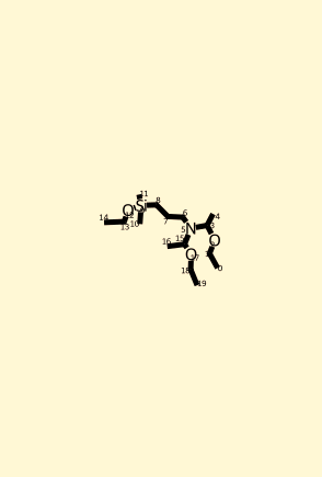 CCOC(C)N(CCC[Si](C)(C)OCC)C(C)OCC